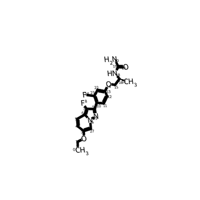 CCOc1ccc2c(F)c(-c3ccc(OC[C@H](C)NC(N)=O)cc3F)nn2c1